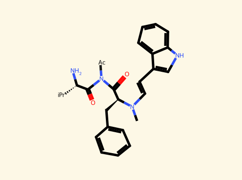 CC(=O)N(C(=O)[C@@H](N)C(C)C)C(=O)[C@H](Cc1ccccc1)N(C)C=Cc1c[nH]c2ccccc12